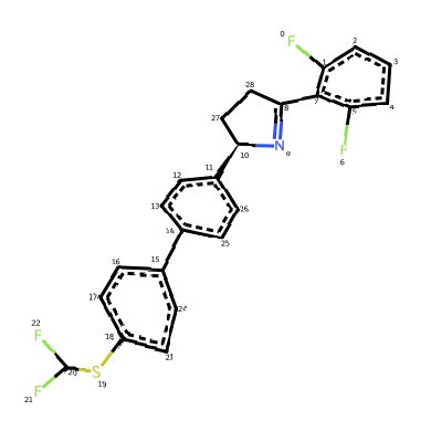 Fc1cccc(F)c1C1=N[C@@H](c2ccc(-c3ccc(SC(F)F)cc3)cc2)CC1